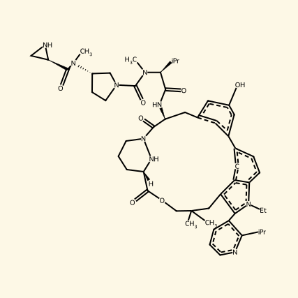 CCn1c(-c2cccnc2C(C)C)c2c3cc(ccc31)-c1cc(O)cc(c1)C[C@H](NC(=O)[C@H](C(C)C)N(C)C(=O)N1CC[C@H](N(C)C(=O)[C@H]3CN3)C1)C(=O)N1CCC[C@H](N1)C(=O)OCC(C)(C)C2